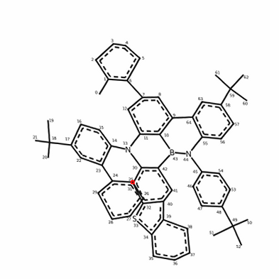 Cc1ccccc1-c1cc2c3c(c1)N(c1ccc(C(C)(C)C)cc1-c1ccccc1)c1cc4sc5ccccc5c4cc1B3N(c1ccc(C(C)(C)C)cc1)c1ccc(C(C)(C)C)cc1-2